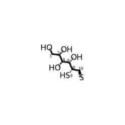 OC[C@@H](O)[C@H](O)[C@H](O)[C@@H](S)C=S